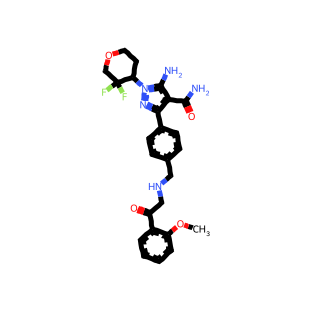 COc1ccccc1C(=O)CNCc1ccc(-c2nn(C3CCOCC3(F)F)c(N)c2C(N)=O)cc1